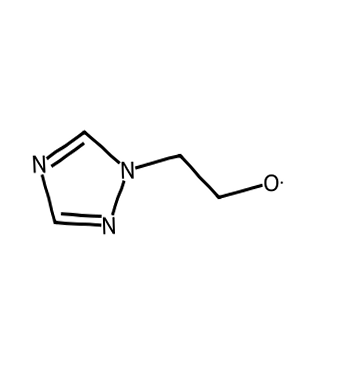 [O]CCn1cncn1